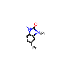 CC(C)c1ccc2c(c1)n(C(C)C)c(=O)n2C